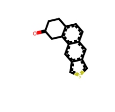 O=C1CCc2ccc3cc4cscc4cc3c2C1